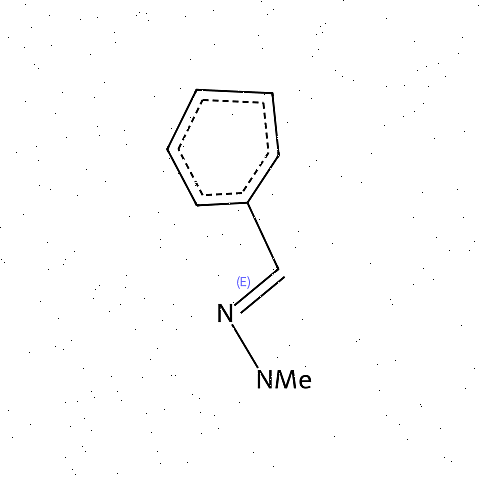 CN/N=C/c1ccccc1